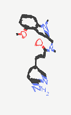 COc1cccc2c1cc(CN(C)C(=O)/C=C/c1ccc(N)nc1)n2C